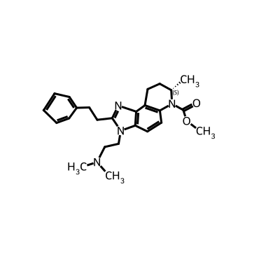 COC(=O)N1c2ccc3c(nc(CCc4ccccc4)n3CCN(C)C)c2CC[C@@H]1C